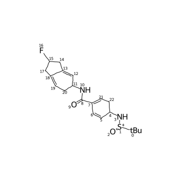 CC(C)(C)[S+]([O-])NC1C=CC(C(=O)NC2C=C3CC(F)CC3=CC2)=CC1